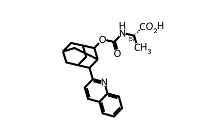 C[C@H](NC(=O)OC1C2CC3CC(C2)C(c2ccc4ccccc4n2)C1C3)C(=O)O